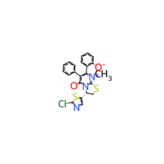 C[n+]1c(-c2ccccc2[O-])c(-c2ccccc2)c(=O)n2c1SC[C@@H]2c1cnc(Cl)s1